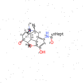 CCCCCCCC(=O)Nc1cc(O)c2c3c1C[C@@H]1[C@@H]4C=CC(=O)[C@H](O2)[C@]34CCN1C